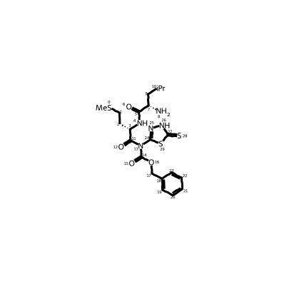 CSCC[C@H](NC(=O)[C@@H](N)CC(C)C)C(=O)N(C(=O)OCc1ccccc1)c1n[nH]c(=S)s1